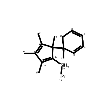 CC1=C(C)C(C)(C2(C)C=CC=CC2)C([SiH2]C(C)C)=C1C